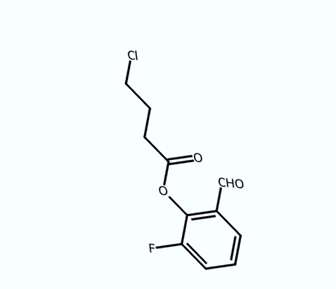 O=Cc1cccc(F)c1OC(=O)CCCCl